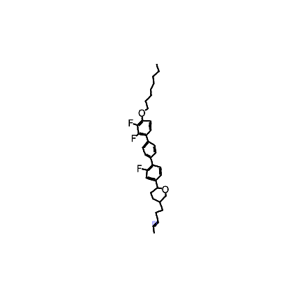 C/C=C/CCC1CCC(c2ccc(-c3ccc(-c4ccc(OCCCCCCCC)c(F)c4F)cc3)c(F)c2)OC1